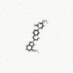 CCC(Cc1ccc(-n2ccc(N)nc2=O)cc1)N1CC2CCCC(N)C2C1